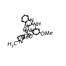 COc1cc(Nc2nc3ccccc3nc2NS(=O)(=O)c2ccc(C)nc2)cc(OC)c1